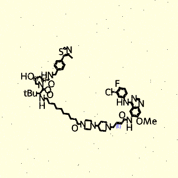 COc1cc2ncnc(Nc3ccc(F)c(Cl)c3)c2cc1NC(=O)/C=C/CN1CCC(N2CCN(C(=O)CCCCCCCCC(=O)NC(C(=O)N3C[C@H](O)C[C@H]3C(=O)NCc3ccc(-c4scnc4C)cc3)C(C)(C)C)CC2)CC1